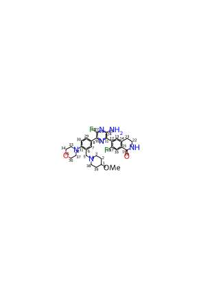 COC1CCN(Cc2cc(-c3nc(-c4cc5c(cc4F)C(=O)NCC5)c(N)nc3F)ccc2N2CCOCC2)CC1